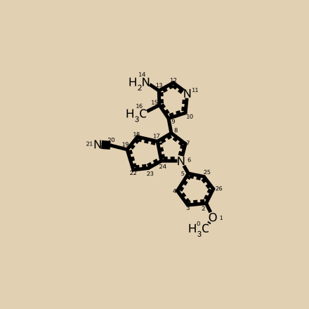 COc1ccc(-n2cc(-c3cncc(N)c3C)c3cc(C#N)ccc32)cc1